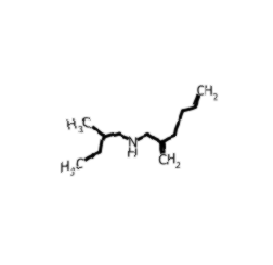 C=CCCC(=C)CNCC(C)CC